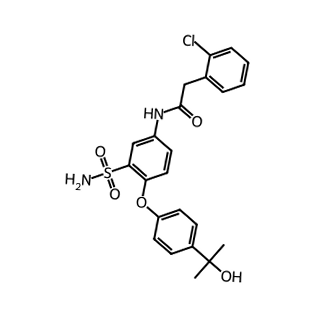 CC(C)(O)c1ccc(Oc2ccc(NC(=O)Cc3ccccc3Cl)cc2S(N)(=O)=O)cc1